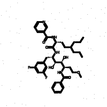 CCCC(CCC)CC[C@@H](NC(=O)c1cccnc1)C(=O)N[C@@H](Cc1cc(F)cc(F)c1)[C@@H](O)[C@H](O)[C@@H](CCOC)NC(=O)c1ccccc1